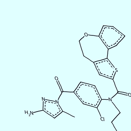 Cc1cc(N)nn1C(=O)c1ccc(N(CCO)C(=O)c2cc3c(s2)-c2ccccc2OCC3)c(Cl)c1